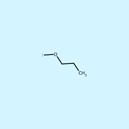 [C]OCCC